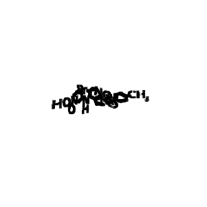 Cc1ccc(S(=O)(=O)n2ccc3c(NC4CCCN(C(=O)O)C4)c(Br)cnc32)cc1